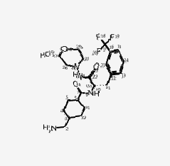 Cl.NCC1CCC(C(=O)N[C@@H](Cc2cccc(C(F)(F)F)c2)C(=O)NN2CCOCC2)CC1